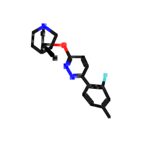 Cc1ccc(-c2ccc(O[C@H]3CN4CCC3CC4)nn2)c(F)c1